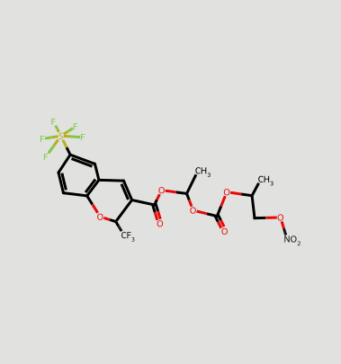 CC(CO[N+](=O)[O-])OC(=O)OC(C)OC(=O)C1=Cc2cc(S(F)(F)(F)(F)F)ccc2OC1C(F)(F)F